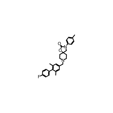 Cc1ccc(N2CC3(CCN(Cc4cc(C)c(-c5ccc(F)cc5)c(C)c4)CC3)OC2=O)cc1